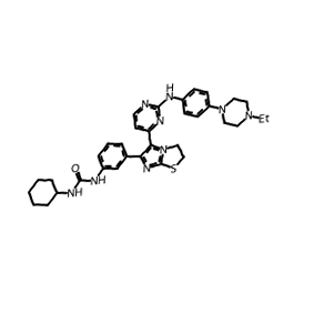 CCN1CCN(c2ccc(Nc3nccc(-c4c(-c5cccc(NC(=O)NC6CCCCC6)c5)nc5n4CCS5)n3)cc2)CC1